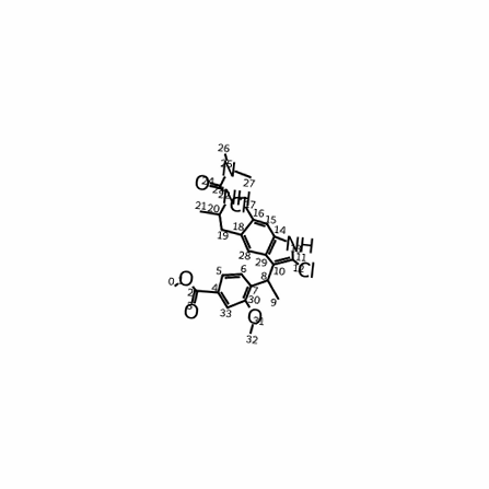 COC(=O)c1ccc(C(C)c2c(Cl)[nH]c3cc(Cl)c(CC(C)NC(=O)N(C)C)cc23)c(OC)c1